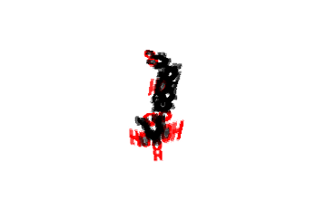 C[C@H]1O[C@@H](O[C@@H]2C=C3CC[C@@H]4[C@H](CC[C@]5(C)[C@@H](c6ccc(=O)oc6)CC[C@]45O)[C@@]3(C)CC2)[C@H](O)[C@H](O)[C@H]1O